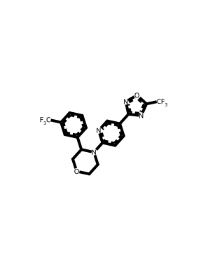 FC(F)(F)c1cccc(C2COCCN2c2ccc(-c3noc(C(F)(F)F)n3)cn2)c1